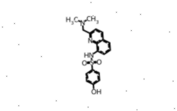 CN(C)Cc1ccc2cccc(NS(=O)(=O)c3ccc(O)cc3)c2n1